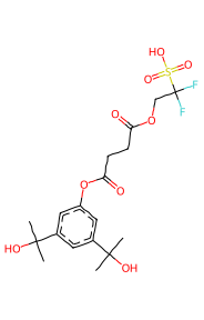 CC(C)(O)c1cc(OC(=O)CCC(=O)OCC(F)(F)S(=O)(=O)O)cc(C(C)(C)O)c1